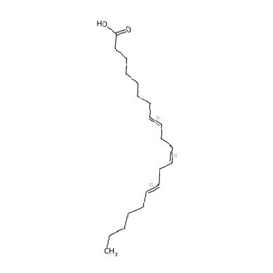 CCCCC/C=C/C/C=C\C/C=C/CCCCCCC(=O)O